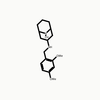 COc1ccc(CNC2CC3CCCC(C2)N3C)c(OC)c1